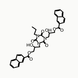 CCCn1c(=O)n(CC(O)COC(=O)c2ccc3ccccc3c2)c(=O)n(CC(O)COC(=O)c2ccc3ccccc3c2)c1=O